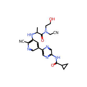 CC(Nc1cc(-c2cnc(NC(=O)C3CC3)cn2)cnc1C#N)C(=O)N(CC#N)CCO